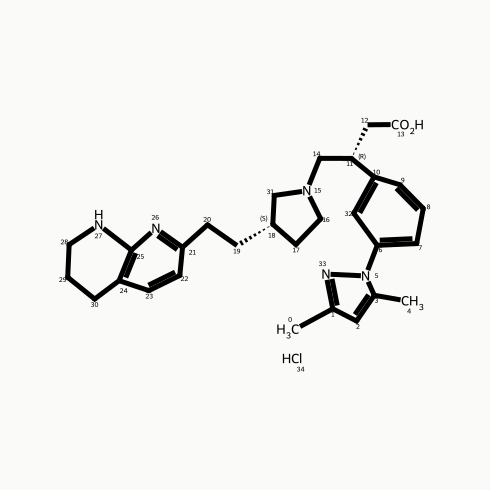 Cc1cc(C)n(-c2cccc([C@@H](CC(=O)O)CN3CC[C@H](CCc4ccc5c(n4)NCCC5)C3)c2)n1.Cl